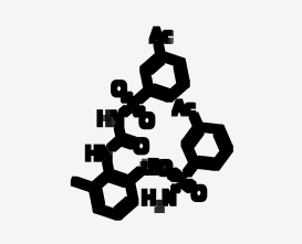 CC(=O)c1cccc(S(=O)(=O)NC(=O)Nc2c(C)cccc2C(C)(C)C)c1.CC(=O)c1cccc(S(N)(=O)=O)c1